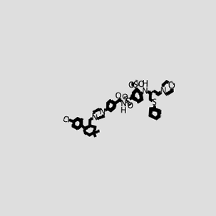 CC1(C)CCC(c2ccc(Cl)cc2)=C(CN2CCN(c3ccc(C(=O)NS(=O)(=O)c4ccc(N[C@@H](CCN5CCOCC5)CSc5ccccc5)c(S(C)(=O)=O)c4)cc3)CC2)C1